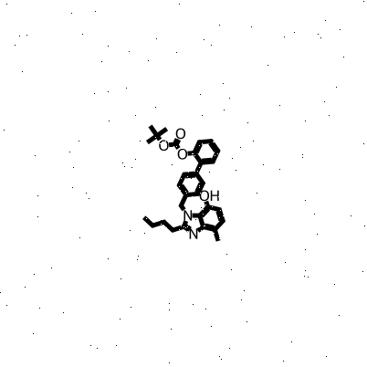 CCCCc1nc2c(C)ccc(O)c2n1Cc1ccc(-c2ccccc2OC(=O)OC(C)(C)C)cc1